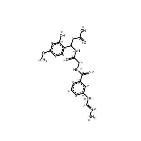 COc1ccc(C(CC(=O)O)NC(=O)CNC(=O)c2cccc(NC=NN)c2)c(O)c1